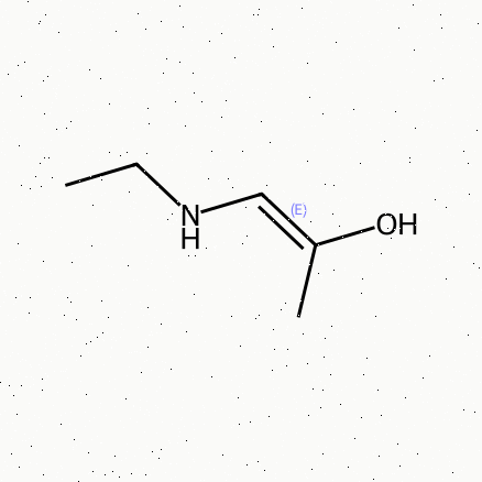 CCN/C=C(\C)O